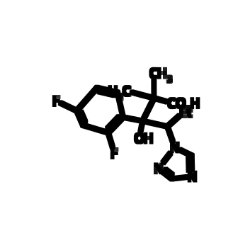 CCC(n1cncn1)C(O)(c1ccc(F)cc1F)C(C)(C)C(=O)O